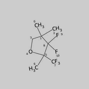 CC1(C)COC(C)(C(F)(F)F)C1(F)F